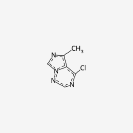 Cc1ncn2ncnc(Cl)c12